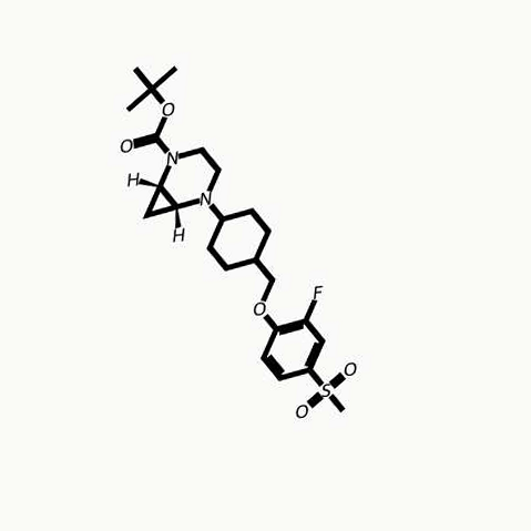 CC(C)(C)OC(=O)N1CCN(C2CCC(COc3ccc(S(C)(=O)=O)cc3F)CC2)[C@@H]2C[C@@H]21